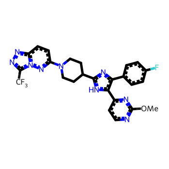 COc1nccc(-c2[nH]c(C3CCN(c4ccc5nnc(C(F)(F)F)n5n4)CC3)nc2-c2ccc(F)cc2)n1